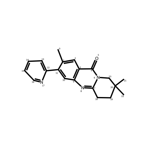 Cc1cc2c(=O)n3c(nc2cc1-c1ccccn1)CCC(C)(C)C3